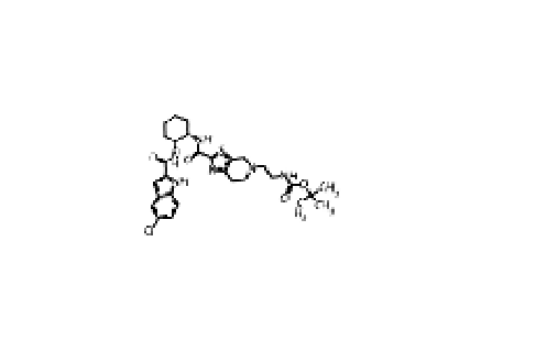 CC(C)(C)OC(=O)NCCN1CCc2nc(C(=O)N[C@@H]3CCCC[C@@H]3NC(=O)c3cc4cc(Cl)ccc4[nH]3)sc2C1